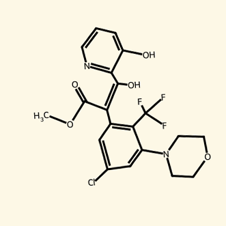 COC(=O)/C(=C(/O)c1ncccc1O)c1cc(Cl)cc(N2CCOCC2)c1C(F)(F)F